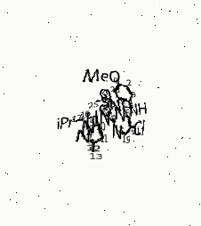 COc1ccc(Nc2nc(Nc3cc(C)nn3CC(C)C)ncc2Cl)c(NS(C)(=O)=O)c1